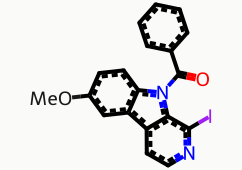 COc1ccc2c(c1)c1ccnc(I)c1n2C(=O)c1ccccc1